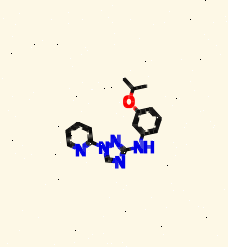 CC(C)Oc1cccc(Nc2ncn(-c3ccccn3)n2)c1